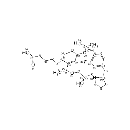 Cc1ccc(C[C@@H]2CCCN2C[C@@H](O)CO[C@H](C)C2=CC(OC(C)C)CC=C2CCCCC(=O)O)cc1F